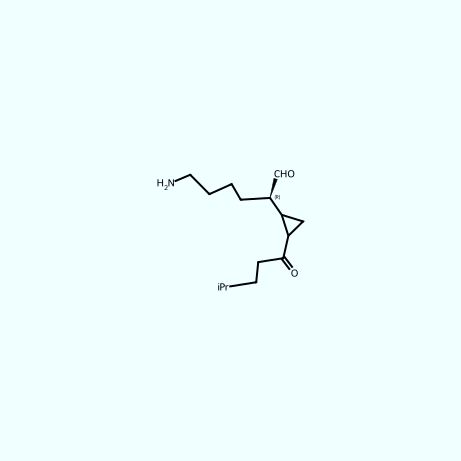 CC(C)CCC(=O)C1CC1[C@H](C=O)CCCCN